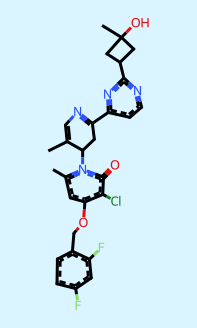 CC1=CN=C(c2ccnc(C3CC(C)(O)C3)n2)CC1n1c(C)cc(OCc2ccc(F)cc2F)c(Cl)c1=O